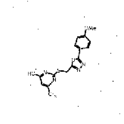 COc1ccc(-c2nnc(CSc3nc(O)cc(C(F)(F)F)n3)o2)cc1